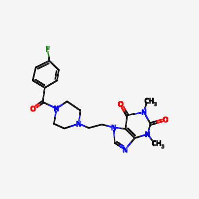 Cn1c(=O)c2c(ncn2CCN2CCN(C(=O)c3ccc(F)cc3)CC2)n(C)c1=O